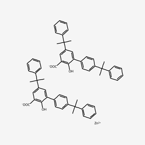 CC(C)(c1ccccc1)c1ccc(-c2cc(C(C)(C)c3ccccc3)cc(C(=O)[O-])c2O)cc1.CC(C)(c1ccccc1)c1ccc(-c2cc(C(C)(C)c3ccccc3)cc(C(=O)[O-])c2O)cc1.[Zn+2]